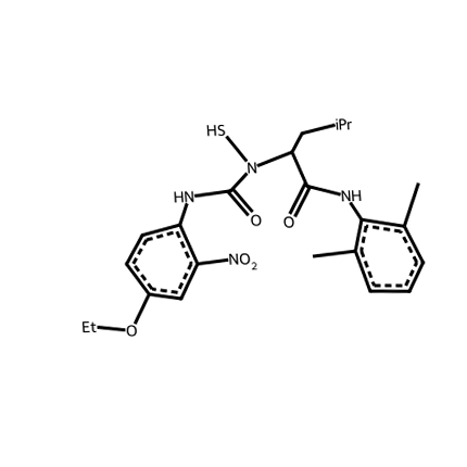 CCOc1ccc(NC(=O)N(S)C(CC(C)C)C(=O)Nc2c(C)cccc2C)c([N+](=O)[O-])c1